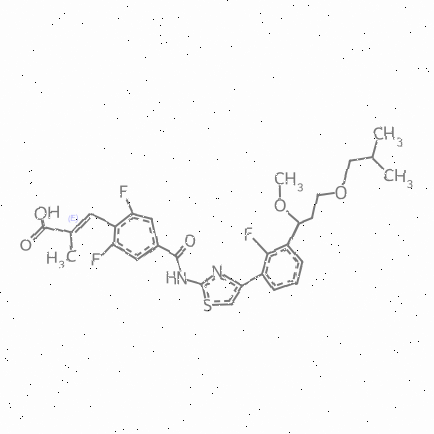 COC(CCOCC(C)C)c1cccc(-c2csc(NC(=O)c3cc(F)c(/C=C(\C)C(=O)O)c(F)c3)n2)c1F